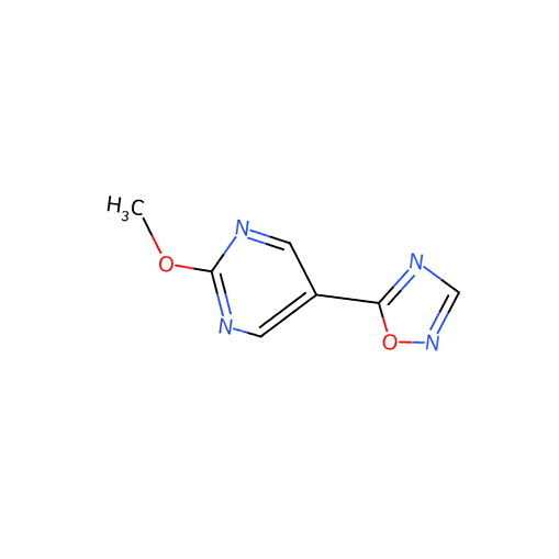 COc1ncc(-c2ncno2)cn1